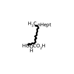 CC=C(CCCCCCC)CCCCCC/C=C/C[C@@H](CC(O)=CO)C(=O)O